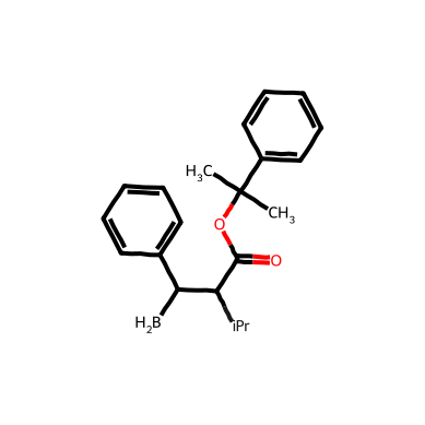 BC(c1ccccc1)C(C(=O)OC(C)(C)c1ccccc1)C(C)C